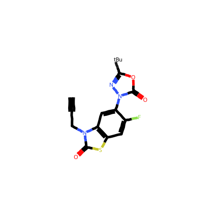 C#CCn1c(=O)sc2cc(F)c(-n3nc(C(C)(C)C)oc3=O)cc21